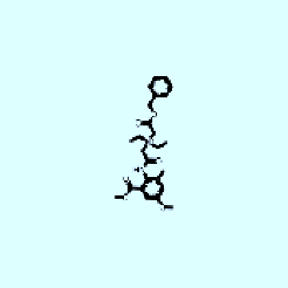 CC[N+](CC)(CC(=O)Nc1c(C)cc(OC)cc1C(=O)OC)CC(=O)OCc1ccccc1